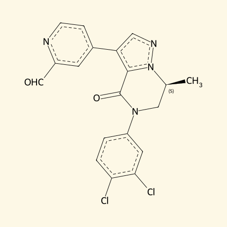 C[C@H]1CN(c2ccc(Cl)c(Cl)c2)C(=O)c2c(-c3ccnc(C=O)c3)cnn21